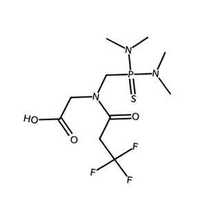 CN(C)P(=S)(CN(CC(=O)O)C(=O)CC(F)(F)F)N(C)C